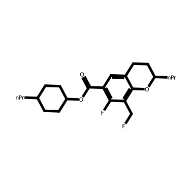 CCCC1CCC(OC(=O)c2cc3c(c(CF)c2F)OC(CCC)CC3)CC1